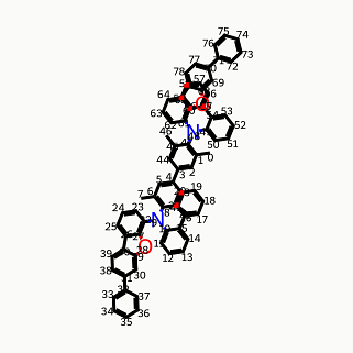 Cc1cc(-c2cc(C)c(N(c3ccccc3-c3ccccc3)c3cccc4c3oc3cc(-c5ccccc5)ccc34)c(C)c2)cc(C)c1N(c1ccccc1-c1ccccc1)c1cccc2c1oc1cc(-c3ccccc3)ccc12